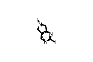 Ic1ncc2c(n1)CN(I)C2